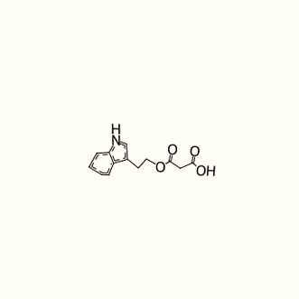 O=C(O)CC(=O)OCCc1c[nH]c2ccccc12